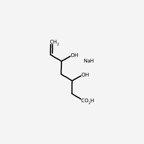 C=CC(O)CC(O)CC(=O)O.[NaH]